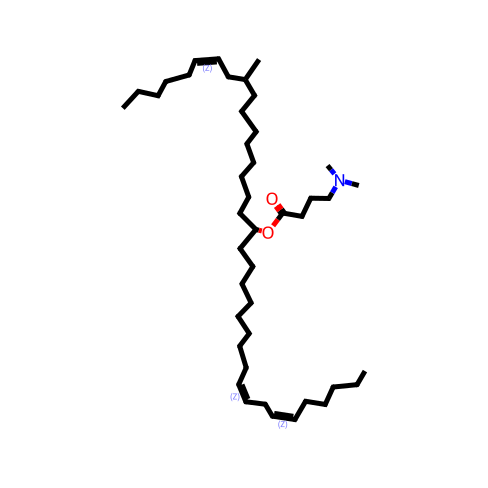 CCCCC/C=C\C/C=C\CCCCCCCCC(CCCCCCCCC(C)C/C=C\CCCCC)OC(=O)CCCN(C)C